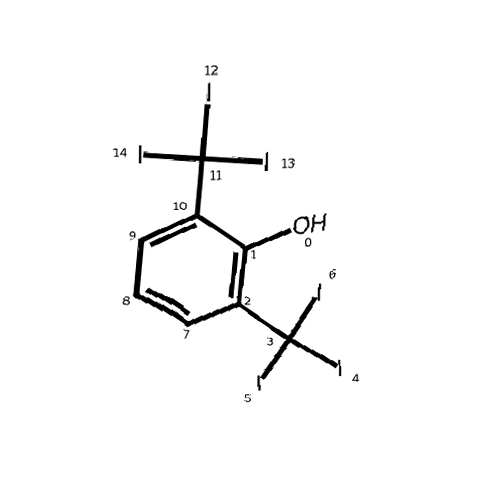 Oc1c(C(I)(I)I)cccc1C(I)(I)I